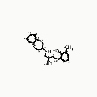 Cc1cccc(SCC(CNC2COc3ccccc3SC2)C(C)C)c1O